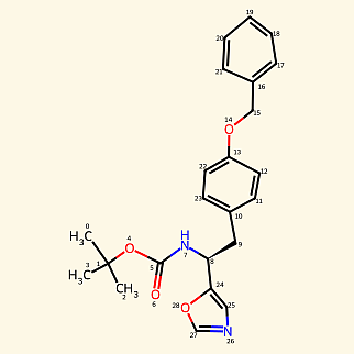 CC(C)(C)OC(=O)N[C@@H](Cc1ccc(OCc2ccccc2)cc1)c1cnco1